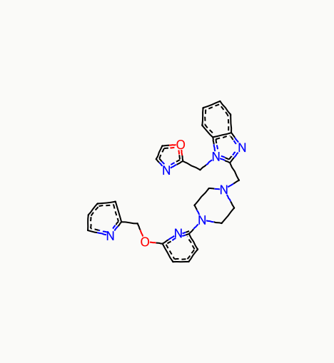 c1ccc(COc2cccc(N3CCN(Cc4nc5ccccc5n4Cc4ncco4)CC3)n2)nc1